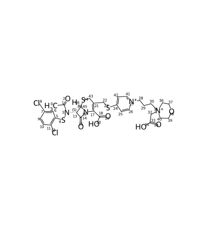 CC(=O)N(Sc1cc(Cl)ccc1Cl)[C@H]1C(=O)N2C(C(=O)O)=C(CSc3cc[n+](CCC[N+]4(CC(=O)O)CCOCC4)cc3)CS[C@H]12